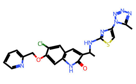 Cc1nnnn1-c1csc(NC(C)c2cc3cc(Cl)c(OCc4ccccn4)cc3[nH]c2=O)n1